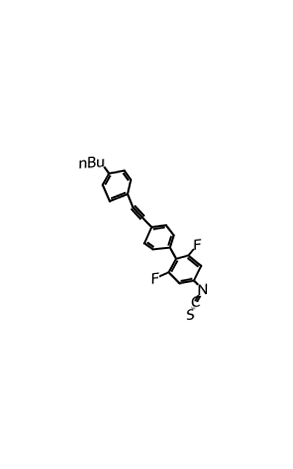 CCCCc1ccc(C#Cc2ccc(-c3c(F)cc(N=C=S)cc3F)cc2)cc1